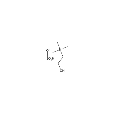 C[N+](C)(C)CCO.O=S(=O)([O-])O